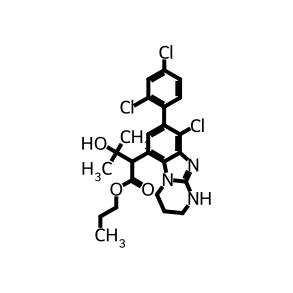 CCCOC(=O)C(c1cc(-c2ccc(Cl)cc2Cl)c(Cl)c2nc3n(c12)CCCN3)C(C)(C)O